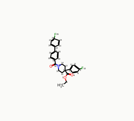 CCOC(=O)C1(c2ccc(F)cc2)CCN(C(=O)c2ccc(-c3ccc(F)cc3)cc2)CC1